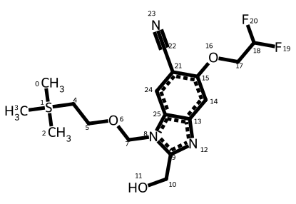 CS(C)(C)CCOCn1c(CO)nc2cc(OCC(F)F)c(C#N)cc21